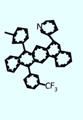 Cc1cccc(-c2c3ccccc3c(-c3cccc(C(F)(F)F)c3)c3cc4c(cc23)c(-c2cccnc2)cc2ccccc24)c1